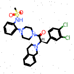 CS(=O)(=O)Nc1ccccc1N1CCN(C(=O)[C@@H](Cc2ccc(Cl)c(Cl)c2)N2[CH]Cc3ccccc3C2)CC1